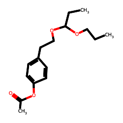 CCCOC(CC)OCCc1ccc(OC(C)=O)cc1